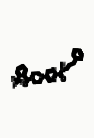 O=C(NCCCc1ccccc1)c1ncc(N2CCN(C(=O)c3ccccc3C(F)(F)F)CC2)cn1